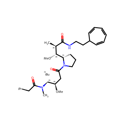 CC[C@H](C)[C@@H]([C@@H](CC(=O)N1CCC[C@H]1[C@H](OC)[C@@H](C)C(=O)NCCC1C=CC=CC=C1)OC)N(C)C(=O)CC(C)C